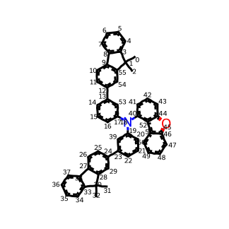 CC1(C)c2ccccc2-c2ccc(-c3cccc(N(c4cccc(-c5ccc6c(c5)C(C)(C)c5ccccc5-6)c4)c4cccc5oc6ccccc6c45)c3)cc21